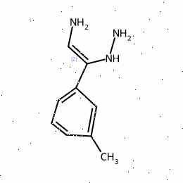 Cc1cccc(/C(=C/N)NN)c1